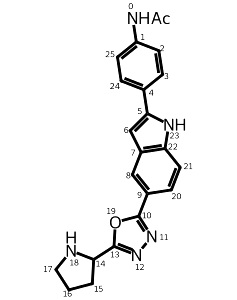 CC(=O)Nc1ccc(-c2cc3cc(-c4nnc(C5CCCN5)o4)ccc3[nH]2)cc1